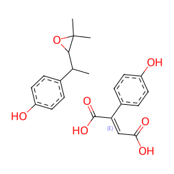 CC(c1ccc(O)cc1)C1OC1(C)C.O=C(O)/C=C(/C(=O)O)c1ccc(O)cc1